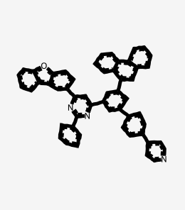 c1ccc(-c2nc(-c3cc(-c4ccc(-c5ccncc5)cc4)cc(-c4cc5ccccc5c5ccccc45)c3)cc(-c3ccc4oc5ccccc5c4c3)n2)cc1